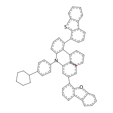 c1ccc(-c2c(-c3cccc4c3sc3ccccc34)cccc2N(c2ccc(C3CCCCC3)cc2)c2cccc(-c3cccc4c3oc3ccccc34)c2)cc1